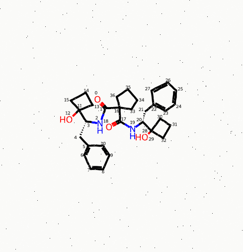 O=C(N[C@H](Cc1ccccc1)C1(O)CCC1)C1(C(=O)N[C@H](Cc2ccccc2)C2(O)CCC2)CCCC1